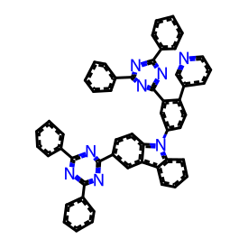 c1ccc(-c2nc(-c3ccccc3)nc(-c3ccc4c(c3)c3ccccc3n4-c3ccc(-c4cccnc4)c(-c4nc(-c5ccccc5)nc(-c5ccccc5)n4)c3)n2)cc1